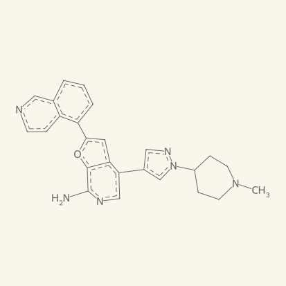 CN1CCC(n2cc(-c3cnc(N)c4oc(-c5cccc6cnccc56)cc34)cn2)CC1